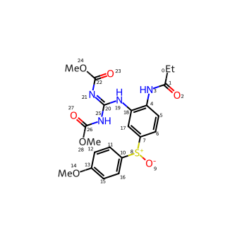 CCC(=O)Nc1ccc([S+]([O-])c2ccc(OC)cc2)cc1NC(=NC(=O)OC)NC(=O)OC